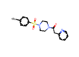 CC(C)(C)c1ccc(S(=O)(=O)N2CCN(C(=O)Cc3ccccn3)CC2)cc1